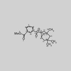 COC(=O)c1cccc(S(=O)(=O)N2CC3(C)CC2CC(C)(C)C3)c1